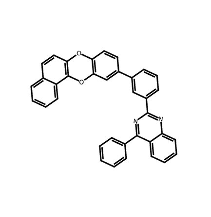 c1ccc(-c2nc(-c3cccc(-c4ccc5c(c4)Oc4c(ccc6ccccc46)O5)c3)nc3ccccc23)cc1